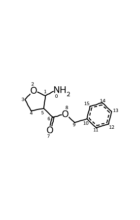 NC1OCCC1C(=O)OCc1ccccc1